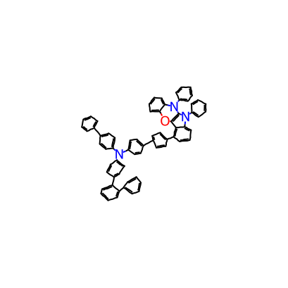 c1ccc(-c2ccc(N(c3ccc(-c4ccc(-c5cccc6c5c5c(n6-c6ccccc6)N(c6ccccc6)c6ccccc6O5)cc4)cc3)c3ccc(-c4ccccc4-c4ccccc4)cc3)cc2)cc1